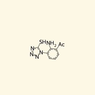 CC(=O)c1cccc(-n2nnnc2S)c1N